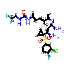 C=C(/N=C(N)\C=C(/N)C1(S(=O)(=O)c2ccc(F)c(Cl)c2)CC1)/C(=C/C=C(\C)NC(=O)NCC(F)F)CCC